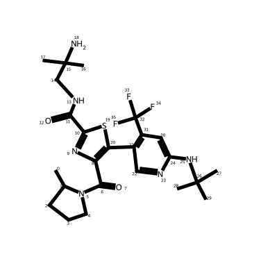 CC1CCCN1C(=O)c1nc(C(=O)NCC(C)(C)N)sc1-c1cnc(NC(C)(C)C)cc1C(F)(F)F